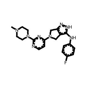 CN1CCN(c2nccc(N3Cc4n[nH]c(Nc5ccc(F)cc5)c4C3)n2)CC1